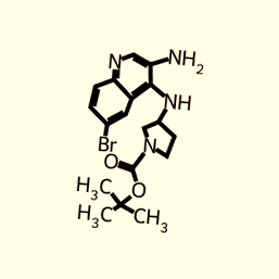 CC(C)(C)OC(=O)N1CCC(Nc2c(N)cnc3ccc(Br)cc23)C1